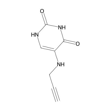 C#CCNc1c[nH]c(=O)[nH]c1=O